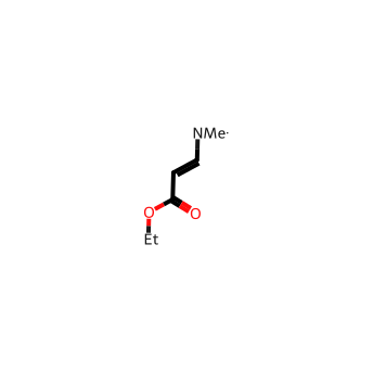 CCOC(=O)C=C[N]C